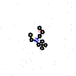 c1ccc(C2(c3ccccc3)c3ccccc3-c3c(-c4nc(-c5ccc(-c6cccc7c6oc6ccccc67)cc5)nc(-c5cccc6c5sc5ccccc56)n4)cccc32)cc1